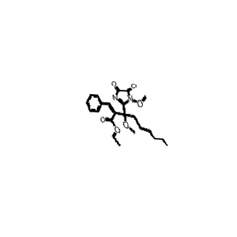 CCCCCCC(OC)(C(=Cc1ccccc1)C(=O)OCC)C1=NC(=O)C(=O)N1OC